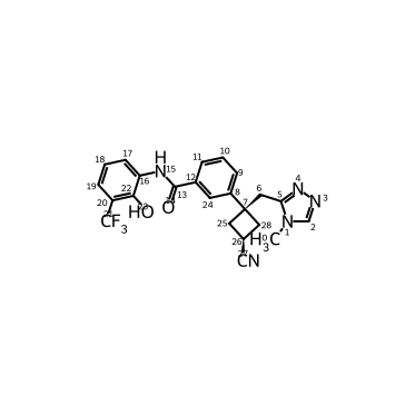 Cn1cnnc1C[C@]1(c2cccc(C(=O)Nc3cccc(C(F)(F)F)c3O)c2)C[C@H](C#N)C1